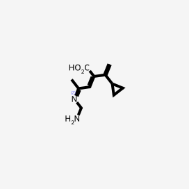 C=C(C(=C/C(C)=N\CN)C(=O)O)C1CC1